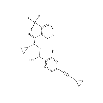 O=C(c1ccccc1C(F)(F)F)N(CC(O)c1ncc(C#CC2CC2)cc1Cl)C1CC1